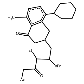 CCCC(CC1CC(=O)c2c(C)ccc(C3CCCCC3)c2C1)C(CC)C(=O)CC(C)=O